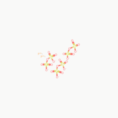 O=S(=O)([O-])OS(=O)(=O)[O-].O=S(=O)([O-])OS(=O)(=O)[O-].O=S(=O)([O-])OS(=O)(=O)[O-].[P+3].[P+3]